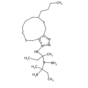 BB(C(B)(C)CC)C(C)(Bn1nnc2c1CSCCCCC(CCCC)SC2)CC